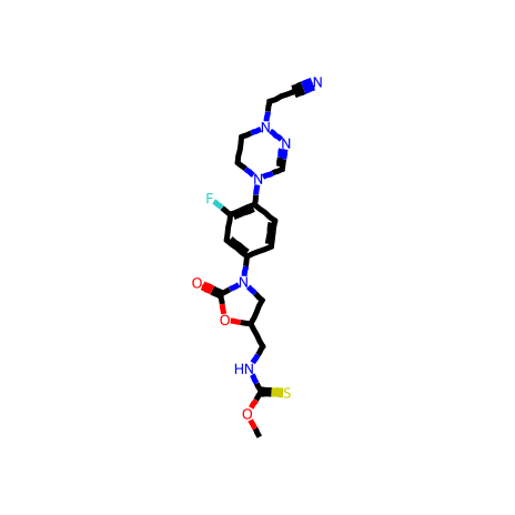 COC(=S)NCC1CN(c2ccc(N3C=NN(CC#N)CC3)c(F)c2)C(=O)O1